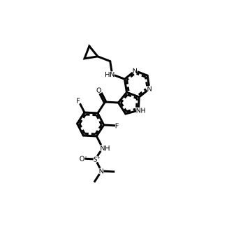 CN(C)[S+]([O-])Nc1ccc(F)c(C(=O)c2c[nH]c3ncnc(NCC4CC4)c23)c1F